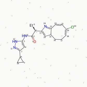 CC[C@H](C(=O)Nc1cc(C2CC2)n[nH]1)C1=CC2CC/C=C(Cl)\C=C/C2=N1